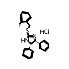 Cl.Ic1ccccc1CSC1=N[C@H](c2ccccc2)[C@H](c2ccccc2)N1